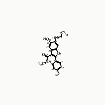 CCNc1cc2oc(-c3ccc(F)cc3)c(C(=O)NC)c2cc1O